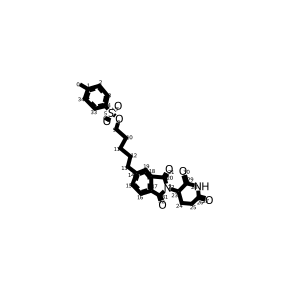 Cc1ccc(S(=O)(=O)OCCCCCc2ccc3c(c2)C(=O)N(C2CCC(=O)NC2=O)C3=O)cc1